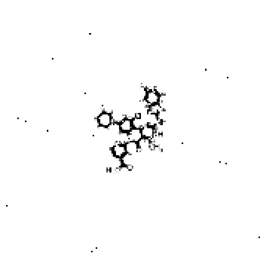 CC(=O)c1ccnc(NC(=O)C2=C(C)NC(Nc3nc4ccc(F)cc4o3)=NC2c2ccc(N3CCCCC3)cc2Cl)c1